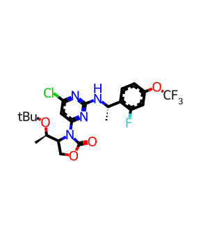 C[C@H](Nc1nc(Cl)cc(N2C(=O)OCC2[C@@H](C)OC(C)(C)C)n1)c1ccc(OC(F)(F)F)cc1F